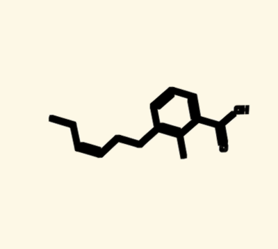 CC/C=C\CCc1cccc(C(=O)O)c1C